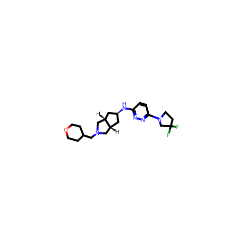 FC1(F)CCN(c2ccc(N[C@H]3C[C@@H]4CN(CC5CCOCC5)C[C@@H]4C3)nn2)C1